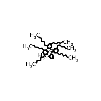 CCCCCCc1cc(CCCCCC)cc([Si]([C]2C=CC=C2C)(c2cc(CCCCCC)cc(CCCCCC)c2)c2cc(CCCCCC)cc(CCCCCC)c2)c1